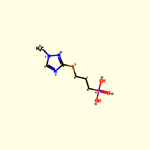 Cn1cnc(SCCCP(=O)(O)O)n1